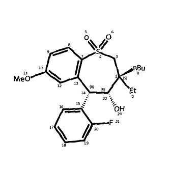 CCCC[C@]1(CC)CS(=O)(=O)c2ccc(OC)cc2[C@@H](c2ccccc2F)[C@H]1O